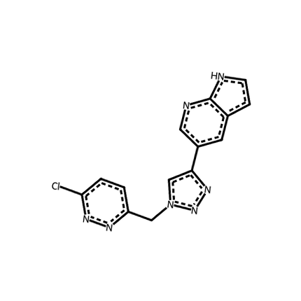 Clc1ccc(Cn2cc(-c3cnc4[nH]ccc4c3)nn2)nn1